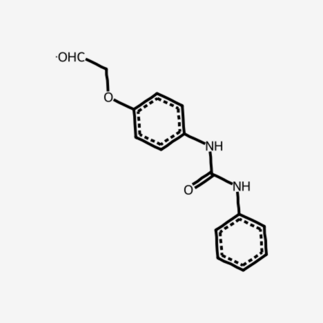 O=[C]COc1ccc(NC(=O)Nc2ccccc2)cc1